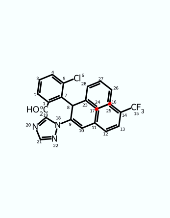 O=C(O)c1cccc(Cl)c1C(/C(=C\c1ccc(C(F)(F)F)cc1)n1cncn1)c1ccccc1